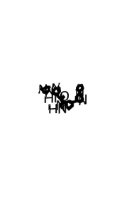 CN1CCN(c2cc(NC(=O)c3n[nH]c4ccc(-c5cncc(N6CCCC6)c5)cc34)ccn2)CC1